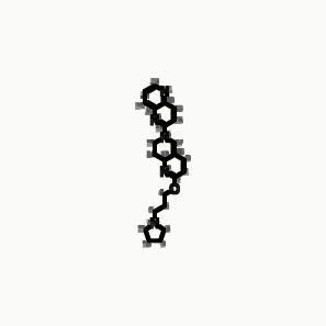 C1=CC(OCCCN2CCCC2)=NC2CCN(c3ccc4ncccc4n3)C=C12